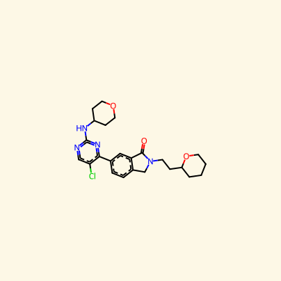 O=C1c2cc(-c3nc(NC4CCOCC4)ncc3Cl)ccc2CN1CCC1CCCCO1